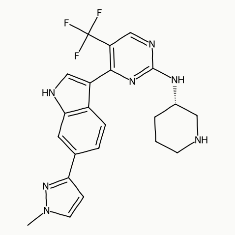 Cn1ccc(-c2ccc3c(-c4nc(N[C@H]5CCCNC5)ncc4C(F)(F)F)c[nH]c3c2)n1